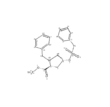 COC(=O)[C@@H]1C[C@@H](OS(=O)(=O)Cc2ccccc2)CN1Cc1ccccc1